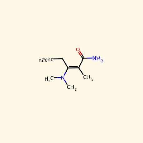 CCCCCCC(=C(C)C(N)=O)N(C)C